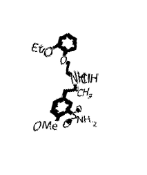 CCOc1ccccc1OCCN[C@@H](C)Cc1ccc(OC)c(S(N)(=O)=O)c1.Cl